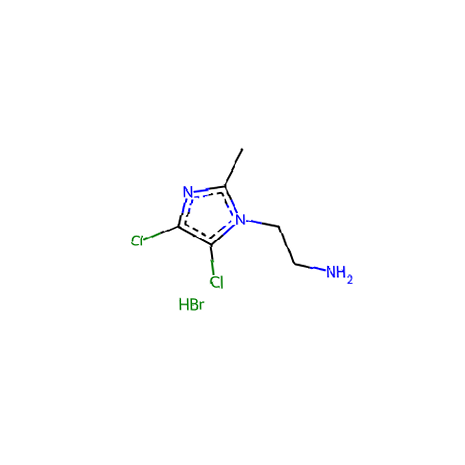 Br.Cc1nc(Cl)c(Cl)n1CCN